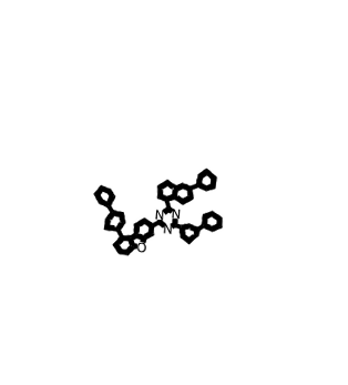 c1ccc(-c2ccc(-c3cccc4oc5cc(-c6nc(-c7cccc(-c8ccccc8)c7)nc(-c7cccc8cc(-c9ccccc9)ccc78)n6)ccc5c34)cc2)cc1